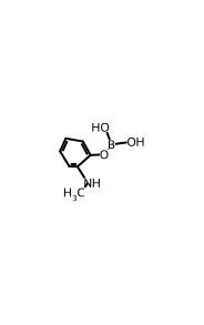 CNc1ccccc1OB(O)O